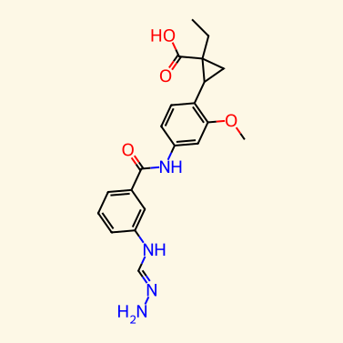 CCC1(C(=O)O)CC1c1ccc(NC(=O)c2cccc(NC=NN)c2)cc1OC